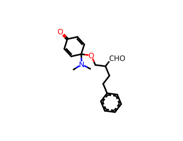 CN(C)C1(OCC(C=O)CCc2ccccc2)C=CC(=O)C=C1